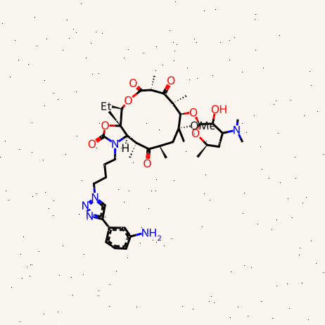 CC[C@H]1OC(=O)[C@H](C)C(=O)[C@H](C)[C@@H](O[C@@H]2O[C@H](C)CC(N(C)C)C2O)[C@](C)(OC)C[C@@H](C)C(=O)[C@H](C)[C@H]2N(CCCCn3cc(-c4cccc(N)c4)nn3)C(=O)O[C@]12C